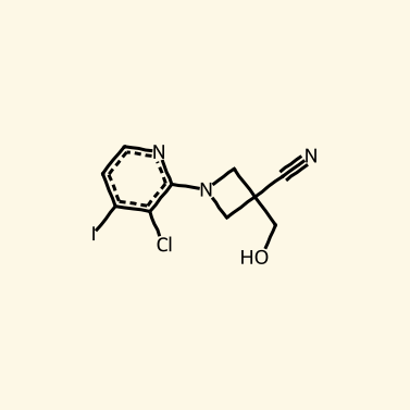 N#CC1(CO)CN(c2nccc(I)c2Cl)C1